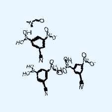 CN(C)C=O.N#Cc1cc(B(O)O)cc([N+](=O)[O-])c1.N#Cc1cc(B(O)O)cc([N+](=O)[O-])c1.N#Cc1cc(B(O)O)cc([N+](=O)[O-])c1